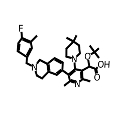 Cc1cc(CN2CCc3cc(-c4c(C)nc(C)c(C(OC(C)(C)C)C(=O)O)c4N4CCC(C)(C)CC4)ccc3C2)ccc1F